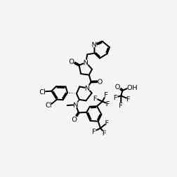 CN(C(=O)c1cc(C(F)(F)F)cc(C(F)(F)F)c1)[C@@H]1CCN(C(=O)C2CC(=O)N(Cc3ccccn3)C2)C[C@H]1c1ccc(Cl)c(Cl)c1.O=C(O)C(F)(F)F